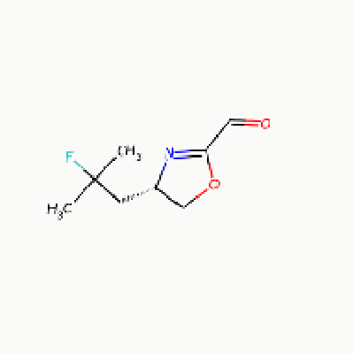 CC(C)(F)C[C@H]1COC(C=O)=N1